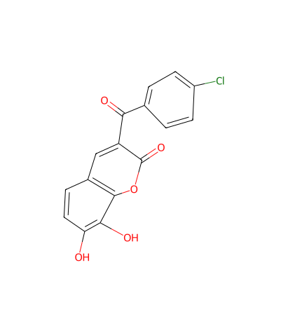 O=C(c1ccc(Cl)cc1)c1cc2ccc(O)c(O)c2oc1=O